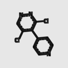 Clc1cnnc(Cl)c1-c1ccncc1